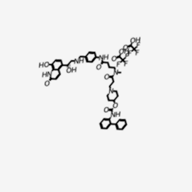 CN(CCCC(=O)Nc1ccc(CNC[C@H](O)c2ccc(O)c3[nH]c(=O)ccc23)cc1)C(=O)CCN1CCC(OC(=O)Nc2ccccc2-c2ccccc2)CC1.O=C(O)C(F)(F)F.O=C(O)C(F)(F)F